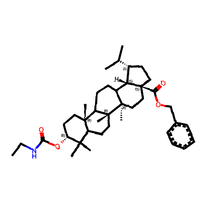 CCNC(=O)O[C@@H]1CC[C@@]2(C)C(CC[C@]3(C)C2CCC2[C@@H]4[C@H](C(C)C)CC[C@]4(C(=O)OCc4ccccc4)CC[C@]23C)C1(C)C